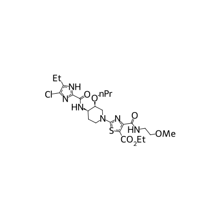 CCCO[C@H]1CN(c2nc(C(=O)NCCOC)c(C(=O)OCC)s2)CC[C@H]1NC(=O)c1nc(Cl)c(CC)[nH]1